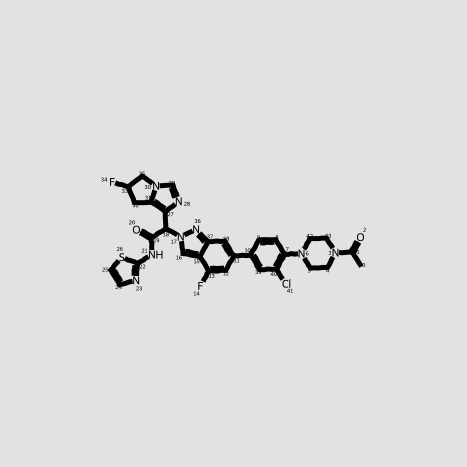 CC(=O)N1CCN(c2ccc(-c3cc(F)c4cn(C(C(=O)Nc5nccs5)c5ncn6c5CC(F)C6)nc4c3)cc2Cl)CC1